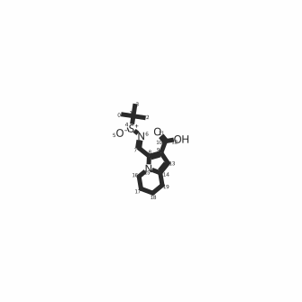 CC(C)(C)[S+]([O-])N=Cc1c(C(=O)O)cc2n1CCCC2